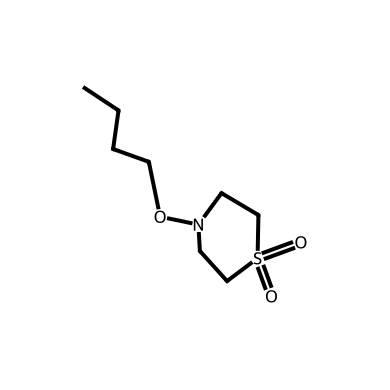 CCCCON1CCS(=O)(=O)CC1